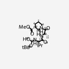 COC(=O)[C@@H]1CCCN(C(=O)[C@H](C)NC(=O)[C@@H](NC(O)OC(C)(C)C)C(C)C)N1